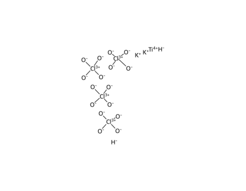 [H-].[H-].[K+].[K+].[O-][Cl+3]([O-])([O-])[O-].[O-][Cl+3]([O-])([O-])[O-].[O-][Cl+3]([O-])([O-])[O-].[O-][Cl+3]([O-])([O-])[O-].[Ti+4]